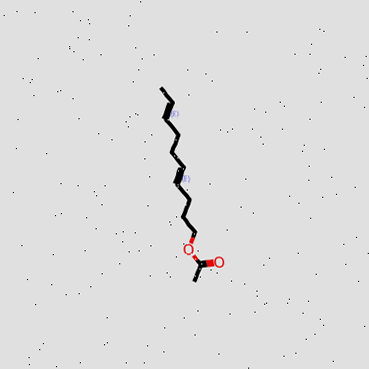 C/C=C/CC/C=C/CCCOC(C)=O